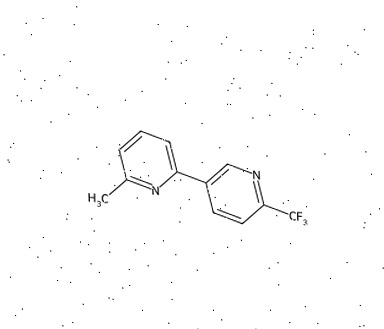 Cc1cccc(-c2ccc(C(F)(F)F)nc2)n1